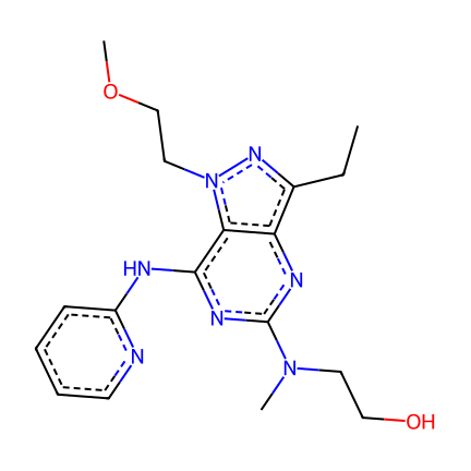 CCc1nn(CCOC)c2c(Nc3ccccn3)nc(N(C)CCO)nc12